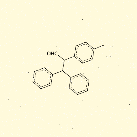 Cc1ccc(C(C=O)C(c2ccccc2)c2ccccc2)cc1